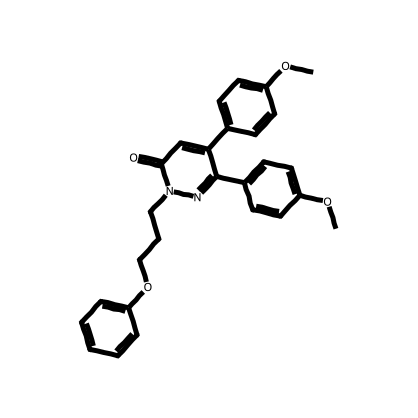 COc1ccc(-c2cc(=O)n(CCCOc3ccccc3)nc2-c2ccc(OC)cc2)cc1